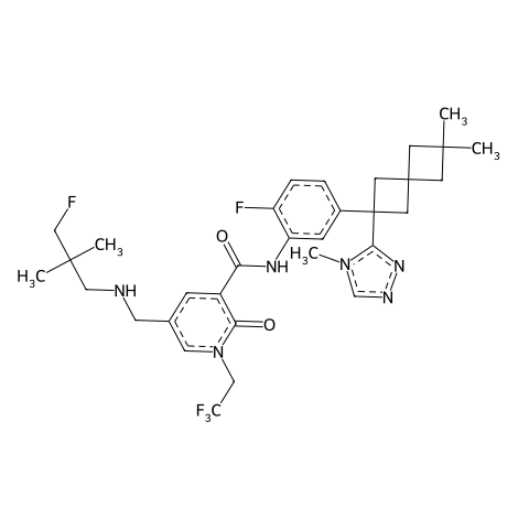 Cn1cnnc1C1(c2ccc(F)c(NC(=O)c3cc(CNCC(C)(C)CF)cn(CC(F)(F)F)c3=O)c2)CC2(CC(C)(C)C2)C1